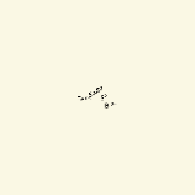 [Bi+3].[Fe+3].[S-2].[S-2].[S-2]